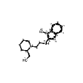 OCC1CCCCN1CCNc1nc2ccccc2n1O